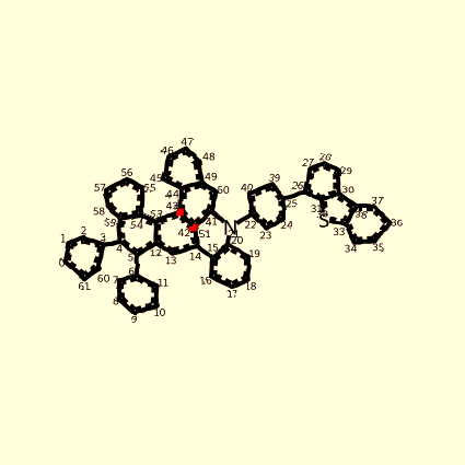 c1ccc(-c2c(-c3ccccc3)c3cc(-c4ccccc4N(c4ccc(-c5cccc6c5sc5ccccc56)cc4)c4ccc5ccccc5c4)ccc3c3ccccc23)cc1